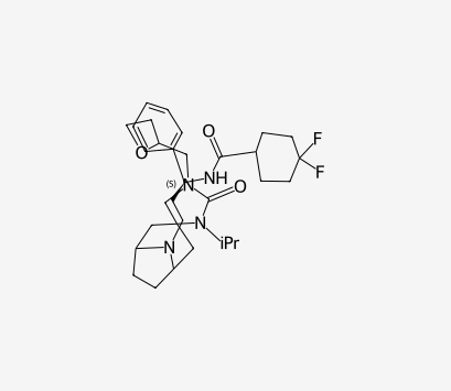 CC(C)N1C(=O)N(CC2CCO2)CC12CC1CCC(C2)N1CC[C@H](NC(=O)C1CCC(F)(F)CC1)c1ccccc1